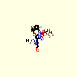 Cn1nc(CCO)cc1-c1cc2c(n3cnnc13)N(C(=O)OC(C)(C)C)Cc1c(F)ccc3c1[C@H](CO3)CO2